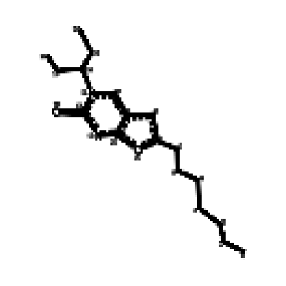 CCCCCCCc1cc2cn(C(CC)CC)c(=O)nc2o1